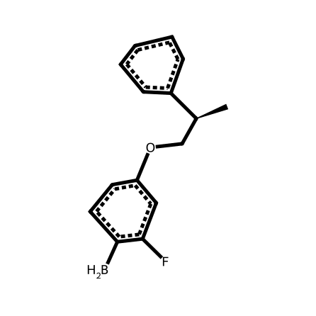 Bc1ccc(OC[C@H](C)c2ccccc2)cc1F